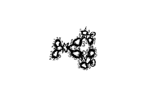 O=c1c2ccccc2n(-c2ccc(-c3nc4c5ccccc5c5ccccc5c4nc3-c3ccc(-n4c5ccccc5c(=O)c5ccccc54)cc3)cc2)c2ccccc12